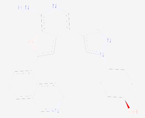 Nc1ncc(-c2cnn([C@H]3CC[C@H](O)CC3)c2)c2cc(-c3cccc4cnccc34)oc12